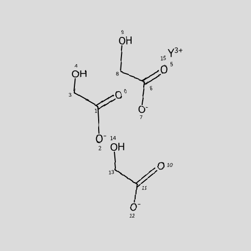 O=C([O-])CO.O=C([O-])CO.O=C([O-])CO.[Y+3]